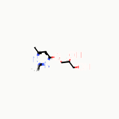 Cc1cc(OCC(O)CO)nc(C(C)C)n1